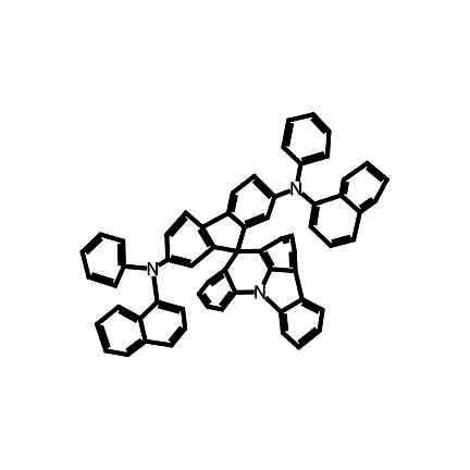 c1ccc(N(c2ccc3c(c2)C2(c4cc(N(c5ccccc5)c5cccc6ccccc56)ccc4-3)c3ccccc3-n3c4ccccc4c4cccc2c43)c2cccc3ccccc23)cc1